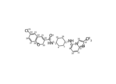 O=C(N[C@H]1CC[C@@H](Nc2cccc3nc(C(F)(F)F)cn23)CC1)C1=Cc2cc(Cl)ccc2OC1